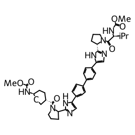 COC(=O)N[C@H](C(=O)N1CCC[C@H]1c1ncc(-c2ccc(-c3ccc(-c4cnc(C5CCCN5C(=O)[C@H]5CC[C@H](NC(=O)OC)CC5)[nH]4)cc3)cc2)[nH]1)C(C)C